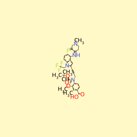 COc1c(N(CC#Cc2cc3c(N[C@@H]4CCN(C)C[C@@H]4F)cccc3n2CC(F)(F)F)C(=O)OC(C)(C)C)ccc(C(=O)O)c1C